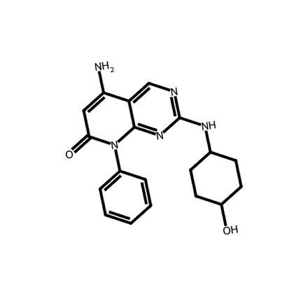 Nc1cc(=O)n(-c2ccccc2)c2nc(NC3CCC(O)CC3)ncc12